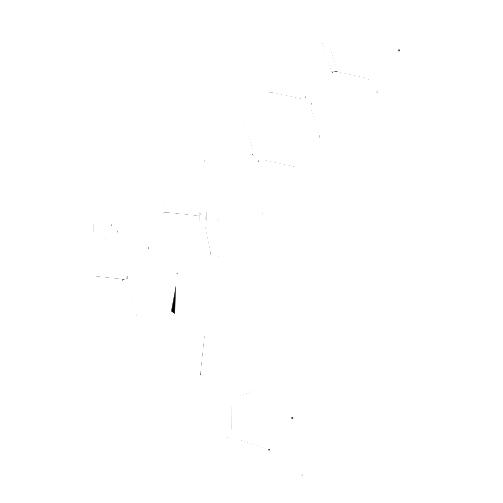 CC(C)(C)OC(=O)N1CCN(S(=O)(=O)N2C[C@@H](CCCB3OC(C)(C)C(C)(C)O3)[C@@](N)(C(=O)O)C2)CC1